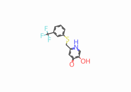 O=c1cc(CSc2cccc(C(F)(F)F)c2)[nH]cc1O